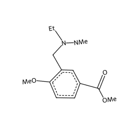 CCN(Cc1cc(C(=O)OC)ccc1OC)NC